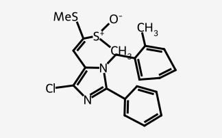 CSC(=Cc1c(Cl)nc(-c2ccccc2)n1Cc1ccccc1C)[S+](C)[O-]